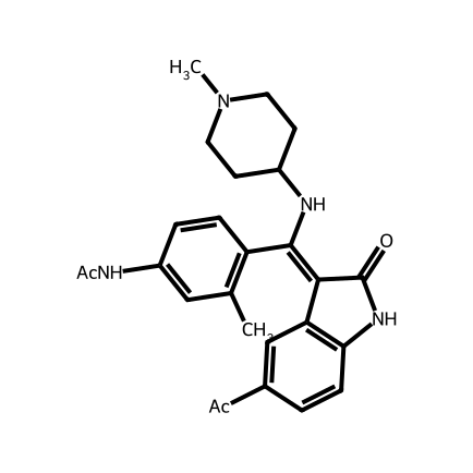 CC(=O)Nc1ccc(C(NC2CCN(C)CC2)=C2C(=O)Nc3ccc(C(C)=O)cc32)c(C)c1